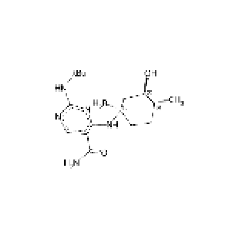 B[C@@]1(Nc2nc(NC(C)(C)C)ncc2C(N)=O)CC[C@@H](C)[C@H](O)C1